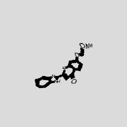 COCOc1ccc2c(=O)cc(-c3nc4ccccc4[nH]3)sc2c1